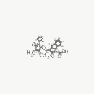 CC1=C(C)C(O/C=C2/C(=O)N(C(=O)O)C3c4ccccc4CC23)N(c2ccsc2)C1=O